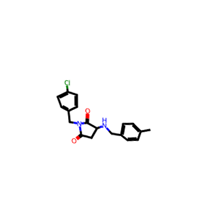 Cc1ccc(CNC2CC(=O)N(Cc3ccc(Cl)cc3)C2=O)cc1